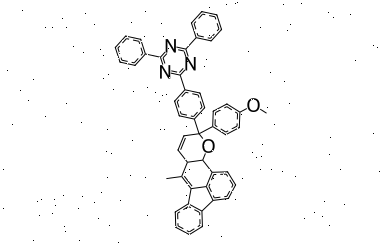 COc1ccc(C2(c3ccc(-c4nc(-c5ccccc5)nc(-c5ccccc5)n4)cc3)C=CC3C(C)=C4c5ccccc5-c5cccc(c54)C3O2)cc1